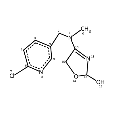 CN(Cc1ccc(Cl)nc1)C1=NC(O)OC1